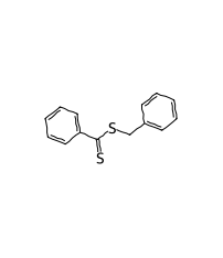 S=C(SCc1ccccc1)c1ccccc1